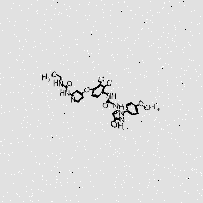 CCNC(=O)Nc1cc(Oc2ccc(NC(=O)Nc3cc(O)nn3-c3ccc(OC)cc3)c(Cl)c2Cl)ccn1